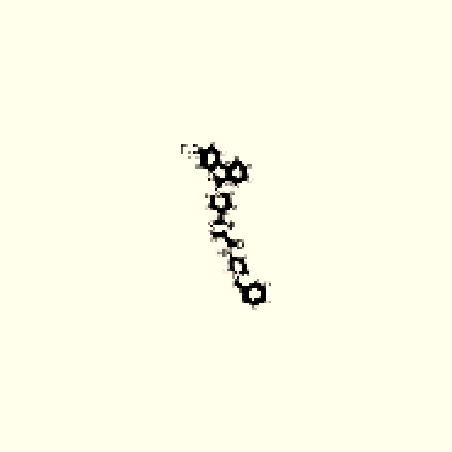 O=C(N[C@@H]1CCN(Cc2ccccc2)C1)c1csc(C2CCN(C(=O)c3ccccc3-c3ccc(C(F)(F)F)cc3)CC2)n1